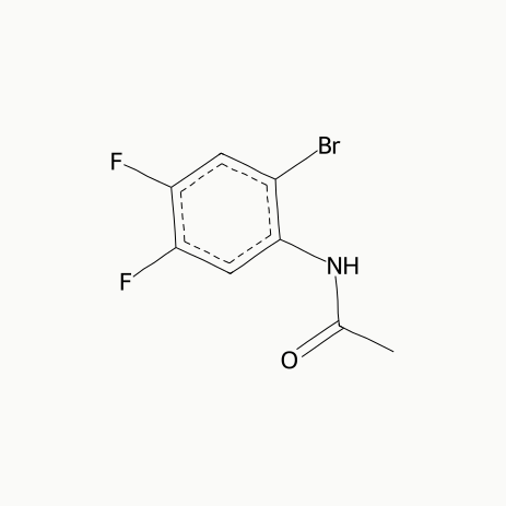 CC(=O)Nc1cc(F)c(F)cc1Br